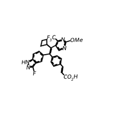 COc1ncc(/C(=C(\c2ccc(/C=C/C(=O)O)cc2)c2ccc3[nH]nc(F)c3c2)C2CCC2)c(C(F)(F)F)n1